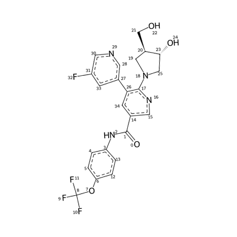 O=C(Nc1ccc(OC(F)(F)F)cc1)c1cnc(N2C[C@@H](CO)[C@H](O)C2)c(-c2cncc(F)c2)c1